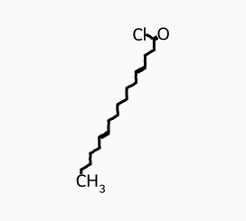 CCCCC/C=C/CCCCCC/C=C/CCC(=O)Cl